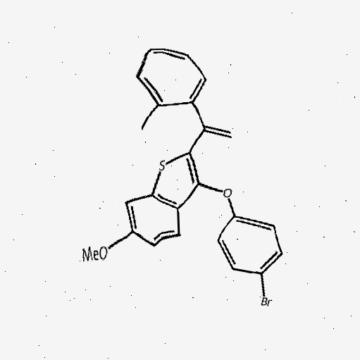 C=C(c1ccccc1C)c1sc2cc(OC)ccc2c1Oc1ccc(Br)cc1